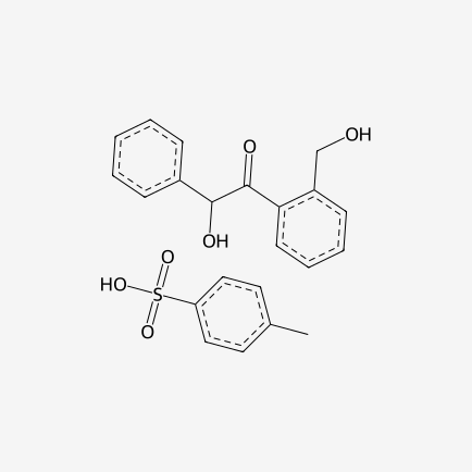 Cc1ccc(S(=O)(=O)O)cc1.O=C(c1ccccc1CO)C(O)c1ccccc1